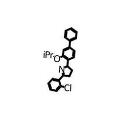 CC(C)Oc1cc(-c2ccccc2)ccc1C1CCC(c2ccccc2Cl)=N1